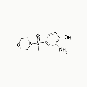 Nc1cc([SH](=O)(I)N2CCOCC2)ccc1O